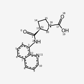 O=C(Nc1cccc2cccnc12)[C@H]1CCN(C(=O)O)C1